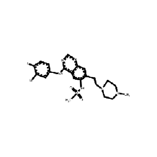 CN1CCN(CCc2cc3ncnc(Nc4ccc(F)c(Cl)c4)c3cc2NS(C)(=O)=O)CC1